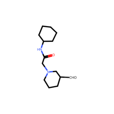 O=CC1CCCN(CC(=O)NC2CCCCC2)C1